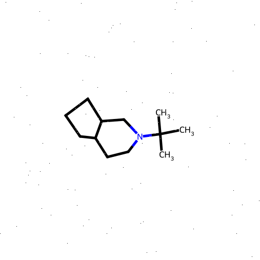 CC(C)(C)N1CCC2CCCC2C1